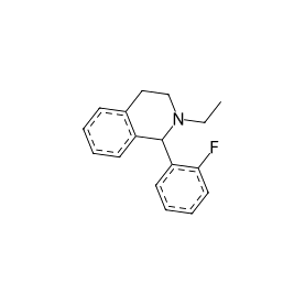 CCN1CCc2ccccc2C1c1ccccc1F